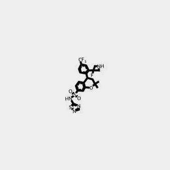 CC1(C)CC(c2ccc(C(F)(F)F)cc2C2(F)CNC2)c2ccc(S(=O)(=O)Nc3ncns3)cc2O1